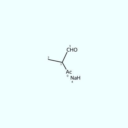 CC(=O)C(C)C=O.[NaH]